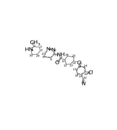 CC1C[C@H](c2ccc(NC(=O)C3CCC(Oc4ccc(C#N)c(Cl)c4)CC3)nn2)CCN1